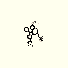 COC(=O)c1ccc2c(C3CCCCC3)c3n(c2c1)CC(CCC(=O)O)COc1cc(OC)ccc1-3